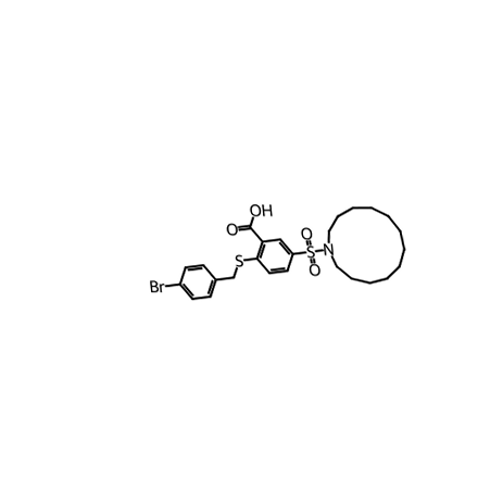 O=C(O)c1cc(S(=O)(=O)N2CCCCCCCCCCCC2)ccc1SCc1ccc(Br)cc1